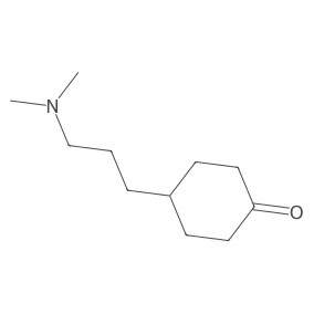 CN(C)CCCC1CCC(=O)CC1